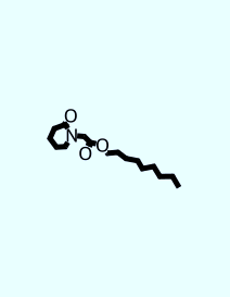 CCCCCCCCCOC(=O)CN1CCCCC1=O